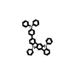 C1=CCC(n2c3ccc(-c4ccc(N(c5ccccc5)c5ccccc5)cc4)cc3c3cc4c(cc32)c2ccccc2n4-c2ccccc2)C=C1